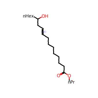 CCCCCCC(O)C/C=C/CCCCCCCC(=O)OCCC